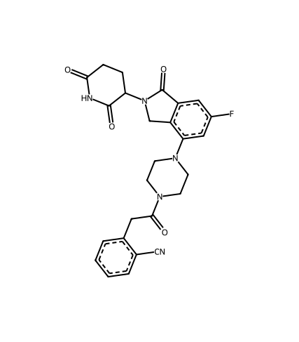 N#Cc1ccccc1CC(=O)N1CCN(c2cc(F)cc3c2CN(C2CCC(=O)NC2=O)C3=O)CC1